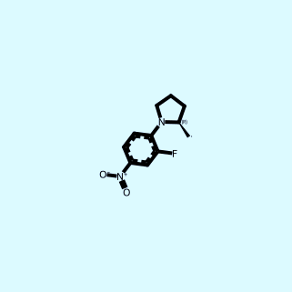 [CH2][C@@H]1CCCN1c1ccc([N+](=O)[O-])cc1F